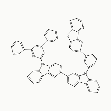 c1ccc(-c2cc(-c3ccccc3)nc(-n3c4ccccc4c4cc(-c5ccc6c7ccccc7n(-c7cccc(-c8ccc9sc%10cccnc%10c9c8)c7)c6c5)ccc43)c2)cc1